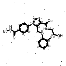 CCNC(=O)c1ccc(-n2nnc(C(=O)NCCO)c2COc2ccccc2F)cc1